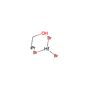 CC(C)CO.[Br][Hf]([Br])[Br]